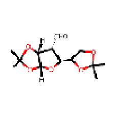 CC1(C)OCC([C@H]2O[C@@H]3OC(C)(C)O[C@@H]3[C@@H]2C=O)O1